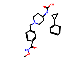 CONC(=O)c1ccc(CN2CCC(N(C(=O)O)[C@@H]3C[C@H]3c3ccccc3)CC2)cc1